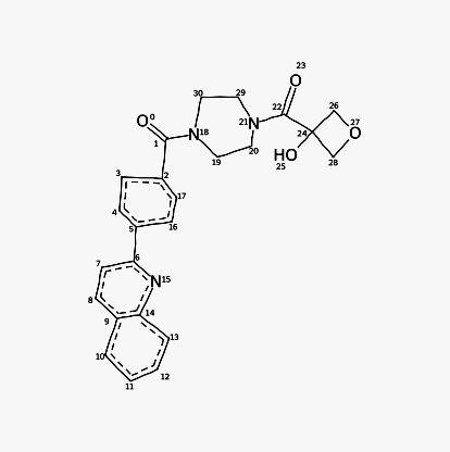 O=C(c1ccc(-c2ccc3ccccc3n2)cc1)N1CCN(C(=O)C2(O)COC2)CC1